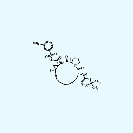 CC(C)(C)OC(=O)N[C@H]1CCCCC/C=C\[C@@H]2C[C@@]2(C(=O)NS(=O)(=O)c2cccc(C#N)c2)NC(=O)[C@@H]2CCCN2C1=O